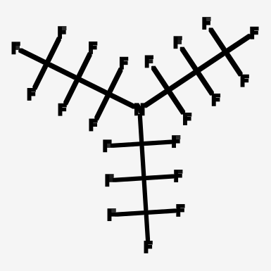 FC(F)(F)C(F)(F)C(F)(F)N(C(F)(F)C(F)(F)C(F)(F)F)C(F)(F)C(F)(F)C(F)(F)F